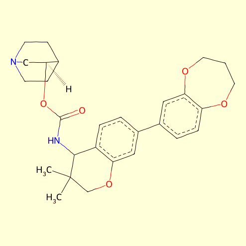 CC1(C)COc2cc(-c3ccc4c(c3)OCCCO4)ccc2C1NC(=O)O[C@H]1CN2CCC1CC2